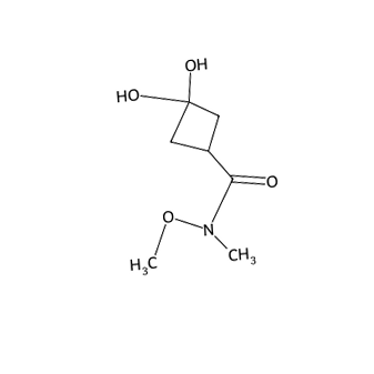 CON(C)C(=O)C1CC(O)(O)C1